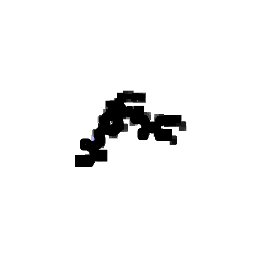 CCCCCCc1nc2cc(/C=C/C(=O)NO)ccn2c1NCCC(=O)N(C)CN